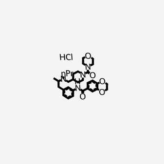 CCCN(CC1CCN(C(=O)N2CCOCC2)CC1)C(C)Cc1cccc(NC(=O)c2ccc3c(c2)OCCO3)c1.Cl